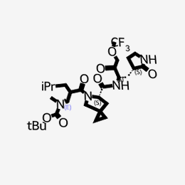 CC(C)CC(/C=[N+](\C)C(=O)OC(C)(C)C)C(=O)N1CC2(CC2)C[C@H]1C(=O)N[C@@H](C[C@@H]1CCNC1=O)C(=O)COC(F)(F)F